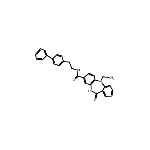 CCN1c2ccc(C(=O)NCCc3ccc(-c4ccccc4)cc3)cc2NC(=O)c2ccccc21